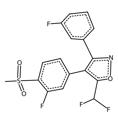 CS(=O)(=O)c1ccc(-c2c(-c3cccc(F)c3)noc2C(F)F)cc1F